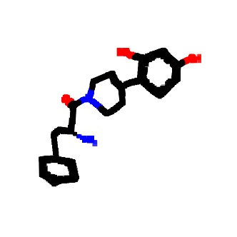 N[C@H](Cc1ccccc1)C(=O)N1CCC(c2ccc(O)cc2O)CC1